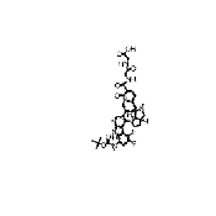 CN1C[C@@H]2CCN(c3c(-c4ccc5ccc(C(=O)NCC(=O)NCC(=O)O)c(=O)n5c4)cnc4[nH]c5c(N(C)C(=O)OC(C)(C)C)cc(F)c(F)c5c34)[C@@H]2C1